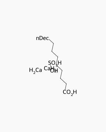 CCCCCCCCCCCCCCCCCC(=O)O.O=S(=O)(O)O.[CaH2].[CaH2]